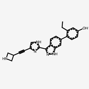 CCc1cc(O)ccc1-c1ccc2c(-c3nc(C#CC4CNC4)c[nH]3)n[nH]c2c1